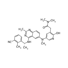 Cc1nc(N[C@H](C)c2cccc(C#N)c2C)c2cc(N(C)c3cnc(O)c(CC(=O)N(C)C)c3)ccc2n1